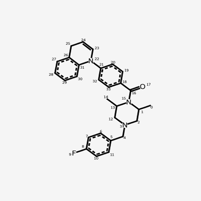 CC1CN(Cc2ccc(F)cc2)CC(C)N1C(=O)c1ccc(N2C=CCc3ccccc32)cc1